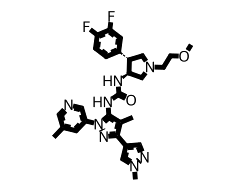 COCCN1C[C@@H](NC(=O)Nc2c(C)c(-c3cnn(C)c3)nn2-c2cncc(C)c2)[C@H](c2ccc(F)c(F)c2)C1